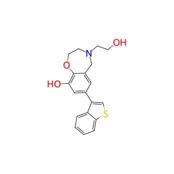 OCCN1CCOc2c(O)cc(-c3csc4ccccc34)cc2C1